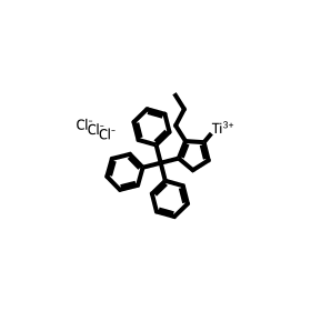 CCCC1=C(C(c2ccccc2)(c2ccccc2)c2ccccc2)CC=[C]1[Ti+3].[Cl-].[Cl-].[Cl-]